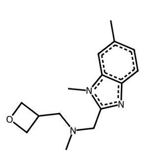 Cc1ccc2nc(CN(C)CC3COC3)n(C)c2c1